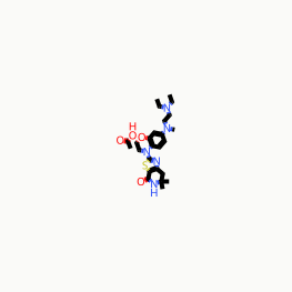 CC(=O)O.CCN(CC)CCN(C)c1ccc2c(c1)OCCN2c1nc2c(s1)C(=O)NC(C)(C)C2